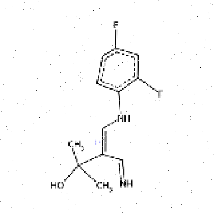 CC(C)(O)/C(C=N)=C/Nc1ccc(F)cc1F